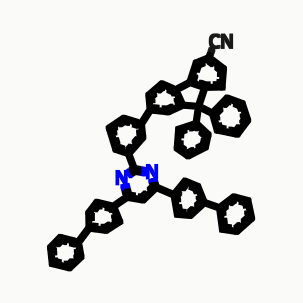 N#Cc1ccc2c(c1)-c1ccc(-c3cccc(-c4nc(-c5ccc(-c6ccccc6)cc5)cc(-c5ccc(-c6ccccc6)cc5)n4)c3)cc1C2(c1ccccc1)c1ccccc1